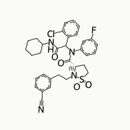 N#Cc1cccc(CCN2[C@H](C(=O)N(c3cccc(F)c3)C(C(=O)NC3CCCCC3)c3ccccc3Cl)CCS2(=O)=O)c1